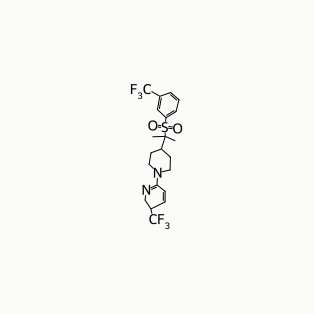 CC(C)(C1CCN(C2=NCC(C(F)(F)F)C=C2)CC1)S(=O)(=O)c1cccc(C(F)(F)F)c1